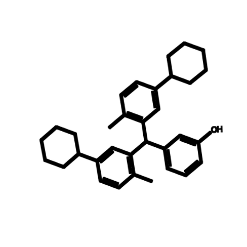 Cc1ccc(C2CCCCC2)cc1C(c1cccc(O)c1)c1cc(C2CCCCC2)ccc1C